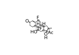 CC(=O)[C@@]1(O)[C@H](C)C[C@H]2[C@@H]3C[C@H](F)C4=CC(=O)CC[C@]4(C)[C@@]3(F)[C@H](O)C[C@@]21C